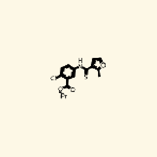 Cc1occc1C(=S)Nc1ccc(Cl)c(C(=O)OC(C)C)c1